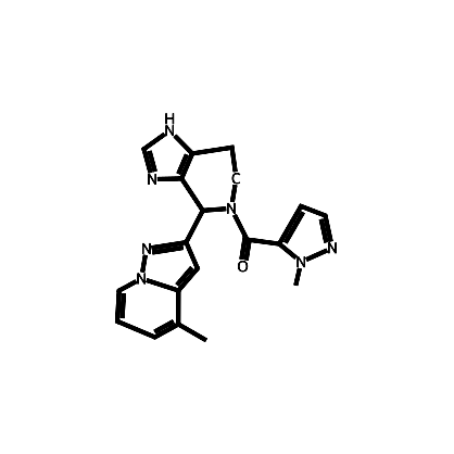 Cc1cccn2nc(C3c4nc[nH]c4CCN3C(=O)c3ccnn3C)cc12